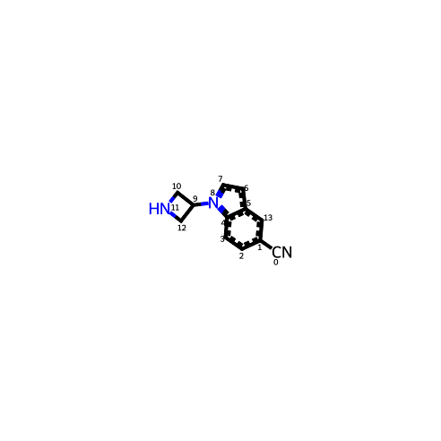 N#Cc1ccc2c(ccn2C2CNC2)c1